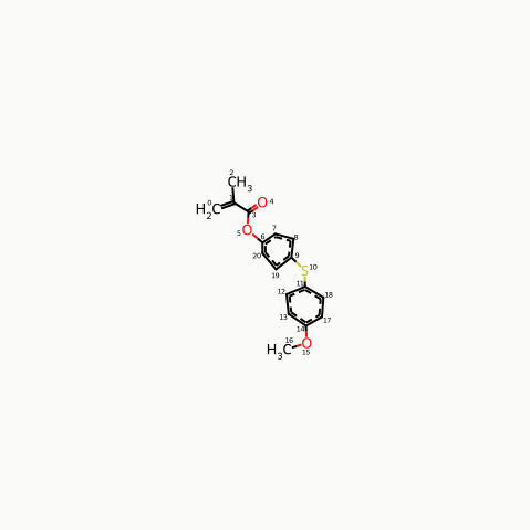 C=C(C)C(=O)Oc1ccc(Sc2ccc(OC)cc2)cc1